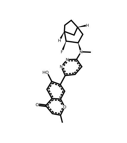 Cc1cc(=O)c2cc(O)c(-c3ccc(N(C)[C@@H]4C[C@H]5CC[C@H](C5)[C@@H]4F)nn3)cc2o1